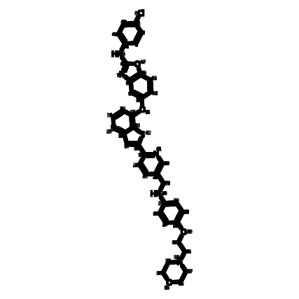 Clc1ccc(Nc2nc3cc(Oc4ccnc5cc(-c6ccc(CNc7ccc(OCCN8CCOCC8)cc7)cn6)sc45)ccc3o2)cc1